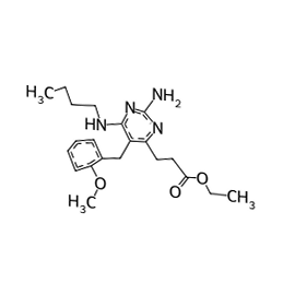 CCCCNc1nc(N)nc(CCC(=O)OCC)c1Cc1ccccc1OC